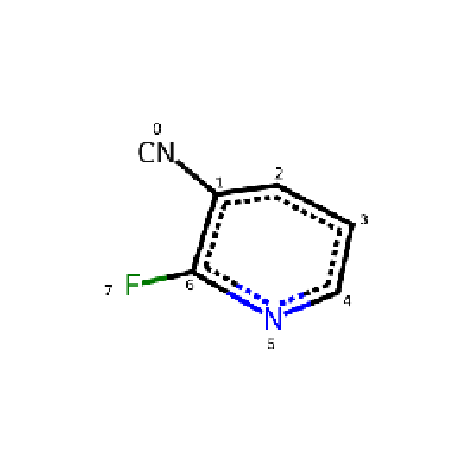 [C-]#[N+]c1cccnc1F